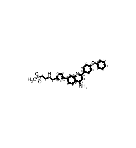 CS(=O)(=O)CCNCc1nc(-c2ccc3c(N)cc(-c4ccc(Oc5ccccc5)cc4)nc3c2)cs1